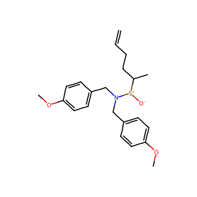 C=CCCC(C)[S+]([O-])N(Cc1ccc(OC)cc1)Cc1ccc(OC)cc1